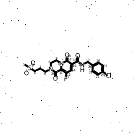 CS(=O)(=O)CCCN1CCn2c(c(F)cc(C(=O)NCc3ccc(Cl)cc3)c2=O)C1=O